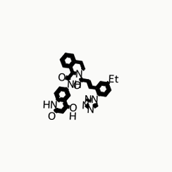 CCc1ccc(-n2cnnn2)c(/C=C/C(=O)N2CCc3ccccc3C2C(=O)Nc2ccc3[nH]c(=O)cc(O)c3c2)c1